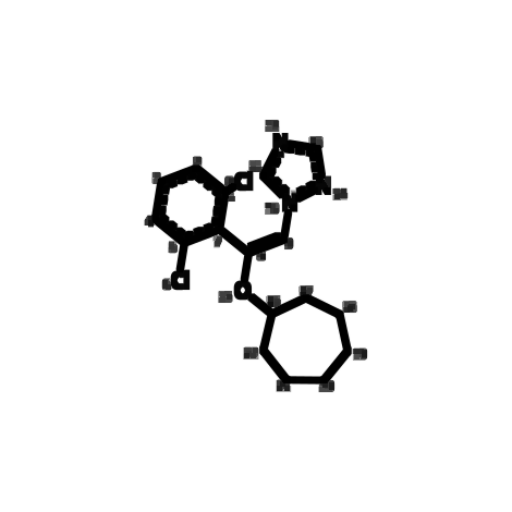 Clc1cccc(Cl)c1C(=Cn1cncn1)OC1CCCCCC1